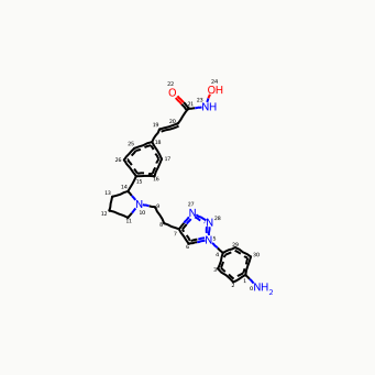 Nc1ccc(-n2cc(CCN3CCCC3c3ccc(C=CC(=O)NO)cc3)nn2)cc1